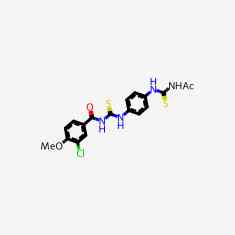 COc1ccc(C(=O)NC(=S)Nc2ccc(NC(=S)NC(C)=O)cc2)cc1Cl